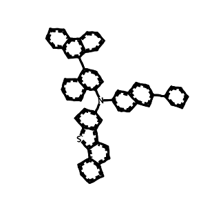 c1ccc(-c2ccc3cc(N(c4ccc5sc6c7ccccc7ccc6c5c4)c4ccc(-c5cc6ccccc6c6ccccc56)c5ccccc45)ccc3c2)cc1